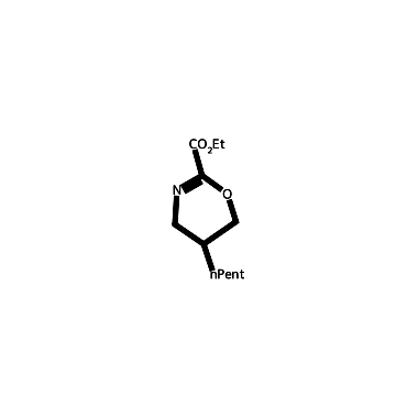 CCCCCC1CN=C(C(=O)OCC)OC1